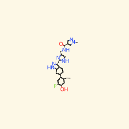 CCc1cc(O)c(F)cc1-c1ccc2c(-c3nc(CNC(=O)c4cnn(C)c4)c[nH]3)n[nH]c2c1